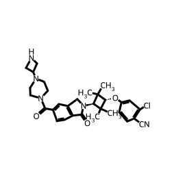 CC1(C)[C@H](Oc2ccc(C#N)c(Cl)c2)C(C)(C)[C@H]1N1Cc2cc(C(=O)N3CCN(C4CNC4)CC3)ccc2C1=O